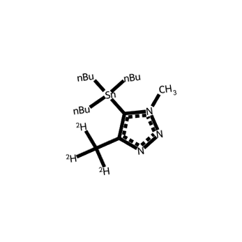 [2H]C([2H])([2H])c1nnn(C)[c]1[Sn]([CH2]CCC)([CH2]CCC)[CH2]CCC